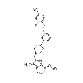 CCCOc1cccc2c1nc(CN1CCC(c3cccc(OCc4ccc(C#N)cc4F)n3)CC1)n2C